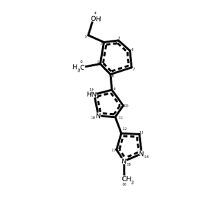 Cc1c(CO)cccc1-c1cc(-c2cnn(C)c2)n[nH]1